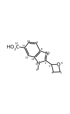 Cn1c(C2CCO2)nc2ccc(C(=O)O)cc21